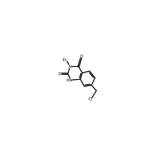 CCn1c(=O)[nH]c2cc(CCl)ccc2c1=O